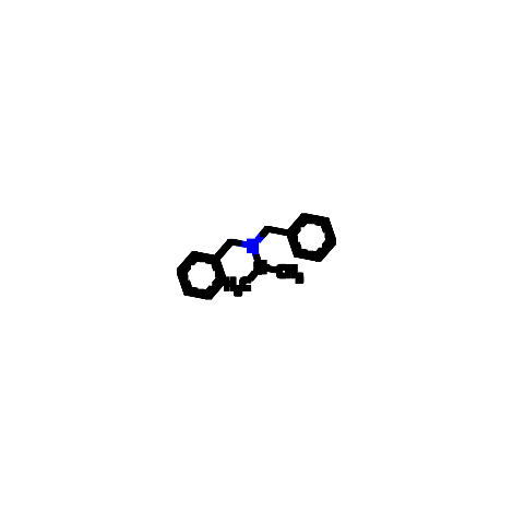 C[Si](C)N(Cc1ccccc1)Cc1ccccc1